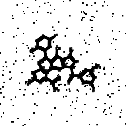 N#Cc1c(C(=O)c2cc(F)ccc2Cl)c(-c2c(F)cc(C(F)(F)F)cc2C(N)=O)cc2c1c(Br)nn2C(=O)c1cc(F)cc(C(F)(F)F)c1